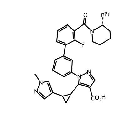 CCC[C@@H]1CCCCN1C(=O)c1cccc(-c2cccc(-n3ncc(C(=O)O)c3C3CC3c3cnn(C)c3)c2)c1F